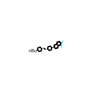 CCCC[C@H]1CC[C@H](CC[C@H]2CC[C@H](c3ccc4c(F)c(F)ccc4c3)CC2)CC1